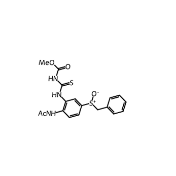 COC(=O)NC(=S)Nc1cc([S+]([O-])Cc2ccccc2)ccc1NC(C)=O